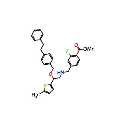 COC(=O)c1ccc(CNCC(OCc2ccc(CCc3ccccc3)cc2)c2ccc(C)s2)cc1F